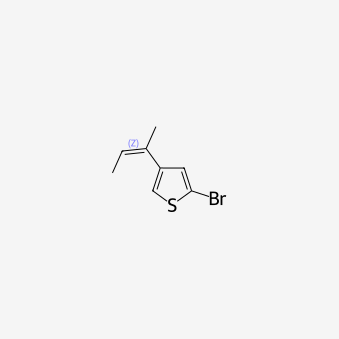 C/C=C(/C)c1csc(Br)c1